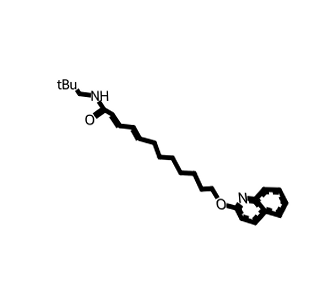 CC(C)(C)CNC(=O)C=CC=CCCCCCCCOc1ccc2ccccc2n1